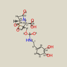 C[C@]1(COC(=O)NCCc2ccc(O)c(O)c2)[C@H](C(=O)O)N2C(=O)C[C@H]2S1(=O)=O